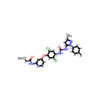 COCC(=O)Nc1cc(Oc2cc(Cl)c(NC(=O)Nc3cc(C(C)(C)C)nn3-c3ccc(C)cc3)cc2F)ccn1